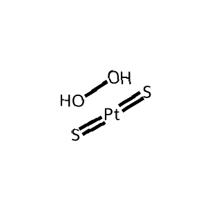 OO.[S]=[Pt]=[S]